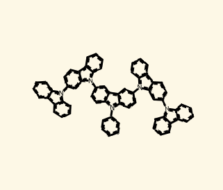 c1ccc(-n2c3ccc(-n4c5ccccc5c5ccc(-n6c7ccccc7c7ccccc76)cc54)cc3c3cc(-n4c5ccccc5c5ccc(-n6c7ccccc7c7ccccc76)cc54)ccc32)cc1